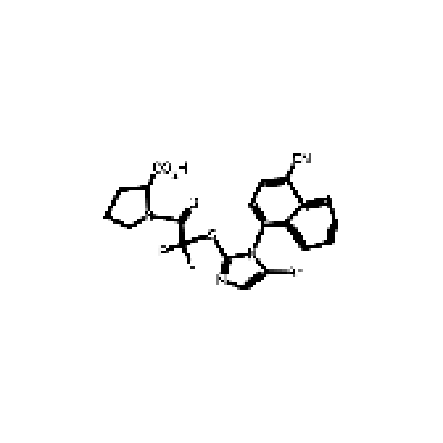 N#Cc1ccc(-n2c(Br)cnc2SC(F)(F)C(=O)N2CCCC2C(=O)O)c2ccccc12